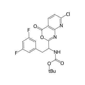 CC(C)(C)OC(=O)NC(Cc1cc(F)cc(F)c1)c1nc2nc(Cl)ccc2c(=O)o1